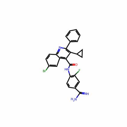 N=C(N)c1ccc(NC(=O)c2c(C3CC3)c(-c3ccccc3)nc3ccc(Br)cc23)c(F)c1